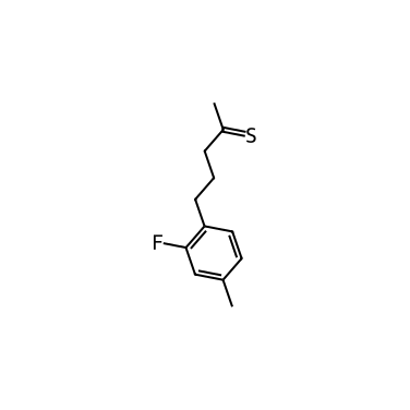 CC(=S)CCCc1ccc(C)cc1F